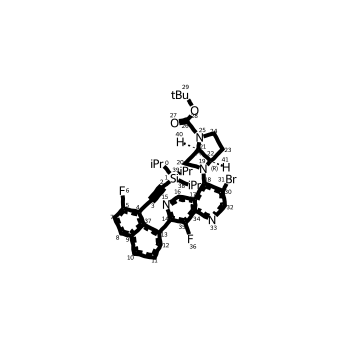 CC(C)[Si](C#Cc1c(F)ccc2cccc(-c3ncc4c(N5C[C@@H]6[C@H]5CCN6C(=O)OC(C)(C)C)c(Br)cnc4c3F)c12)(C(C)C)C(C)C